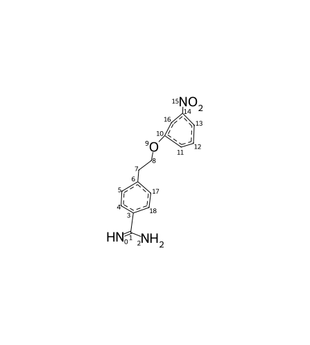 N=C(N)c1ccc(CCOc2cccc([N+](=O)[O-])c2)cc1